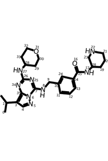 CC(C)c1cnn2c(NCc3cccc(C(=O)NC4CCCNC4)c3)nc(NC3CCOCC3)nc12